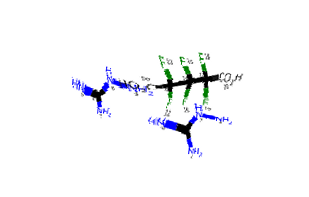 N=C(N)NN.N=C(N)NN.O=C(O)C(F)(F)C(F)(F)C(F)(F)C(=O)O